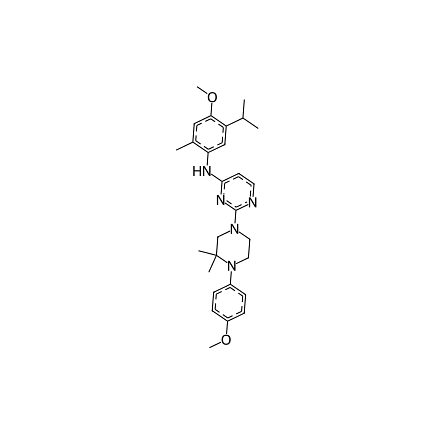 COc1ccc(N2CCN(c3nccc(Nc4cc(C(C)C)c(OC)cc4C)n3)CC2(C)C)cc1